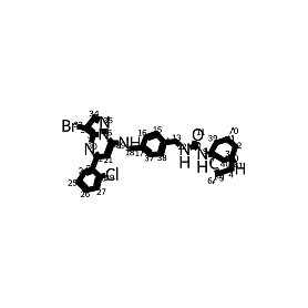 C[C@@H]1C[C@@H]2C[C@H](C)C[C@](NC(=O)NCc3ccc(CNc4cc(-c5ccccc5Cl)nc5c(Br)cnn45)cc3)(C1)C2